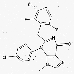 Cn1cnc2c(=O)nc(Cc3c(F)ccc(Cl)c3F)n(-c3ccc(Cl)cc3)c21